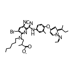 C/C=N\N1C=CC(Oc2ccc(Nc3ncnc4cc(Br)c(N(CCCCCC)CC(C)C(=O)OC)nc34)cc2C)=C/C1=C(\C)CC